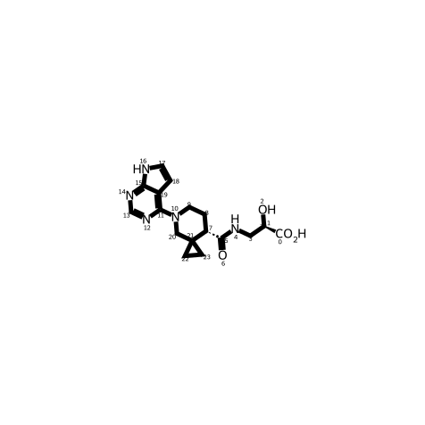 O=C(O)[C@H](O)CNC(=O)[C@H]1CCN(c2ncnc3[nH]ccc23)CC12CC2